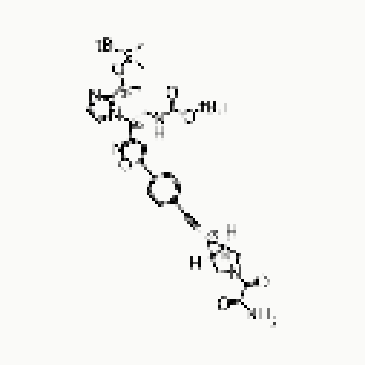 C[C@H](O[Si](C)(C)C(C)(C)C)c1nccn1[C@H](CNC(=O)OC(C)(C)C)c1cc(-c2ccc(C#C[C@@H]3[C@H]4CN(C(=O)C(N)=O)C[C@@H]34)cc2)on1